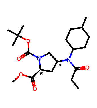 CCC(=O)N(C1CCC(C)CC1)[C@H]1C[C@@H](C(=O)OC)N(C(=O)OC(C)(C)C)C1